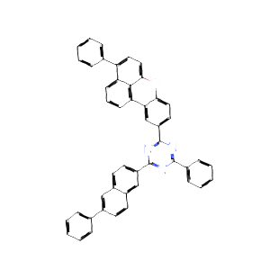 c1ccc(-c2ccc3cc(-c4nc(-c5ccccc5)nc(-c5ccc6c(c5)-c5cccc7c(-c8ccccc8)ccc(c57)O6)n4)ccc3c2)cc1